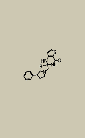 O=C1NC(Br)(CN2CCC(c3ccccc3)C2)Nc2ccsc21